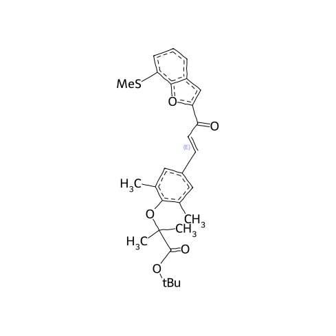 CSc1cccc2cc(C(=O)/C=C/c3cc(C)c(OC(C)(C)C(=O)OC(C)(C)C)c(C)c3)oc12